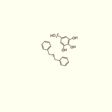 O=C(O)c1cc(O)c(O)c(O)c1.c1ccc(CSCc2ccccc2)cc1